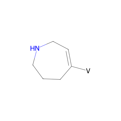 [V][C]1=CCNCCC1